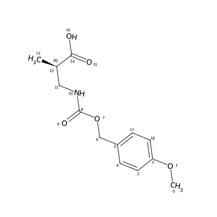 COc1ccc(COC(=O)NC[C@@H](C)C(=O)O)cc1